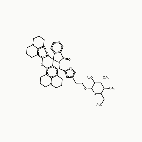 CC(=O)OCC1O[C@H](OCCc2cn(CN3C(=O)c4ccccc4C34c3cc5c6c(c3Oc3c4cc4c7c3CCCN7CCC4)CCCN6CCC5)nn2)C(OC(C)=O)[C@H](OC(C)=O)[C@H]1OC(C)=O